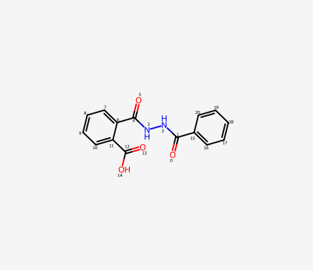 O=C(NNC(=O)c1ccccc1C(=O)O)c1ccccc1